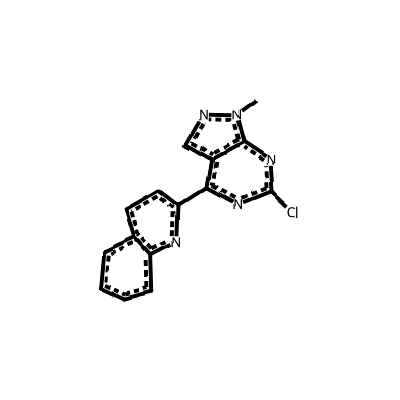 Cn1ncc2c(-c3ccc4ccccc4n3)nc(Cl)nc21